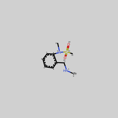 CC(C)NCc1ccccc1N(C)S(C)(=O)=O